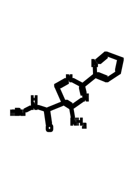 CCCCNC(=O)c1cnc(-c2ccccn2)nc1N